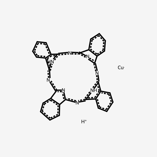 [Cu].[H+].c1ccc2c(c1)-c1nc-2nc2[nH]c(nc3nc(nc4[nH]c(n1)c1ccccc41)-c1ccccc1-3)c1ccccc21